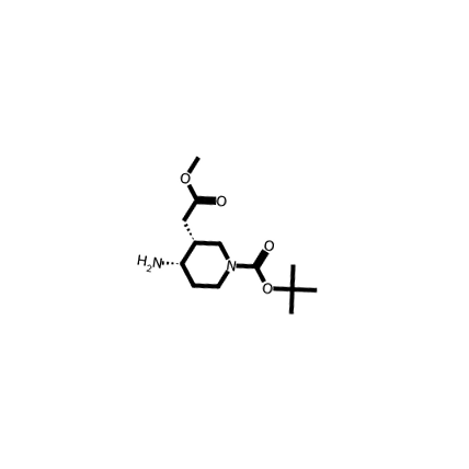 COC(=O)C[C@@H]1CN(C(=O)OC(C)(C)C)CC[C@@H]1N